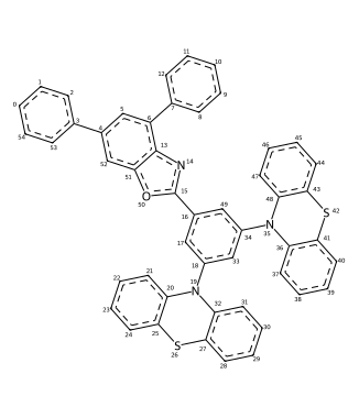 c1ccc(-c2cc(-c3ccccc3)c3nc(-c4cc(N5c6ccccc6Sc6ccccc65)cc(N5c6ccccc6Sc6ccccc65)c4)oc3c2)cc1